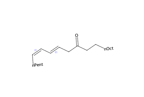 CCCCC/C=C\C=C\CC(=O)CCCCCCCCCC